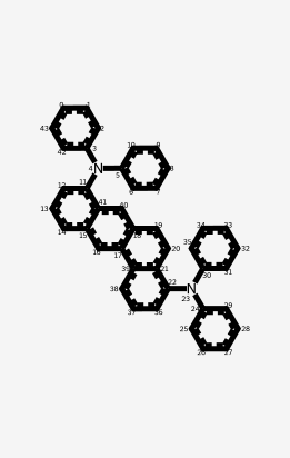 c1ccc(N(c2ccccc2)c2cccc3cc4c(ccc5c(N(c6ccccc6)c6ccccc6)cccc54)cc23)cc1